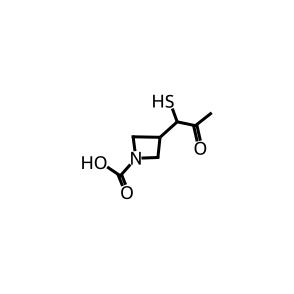 CC(=O)C(S)C1CN(C(=O)O)C1